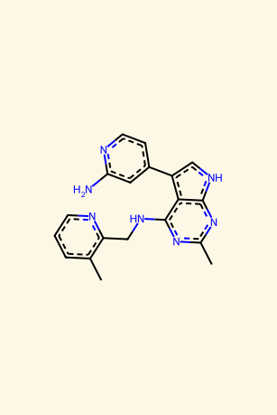 Cc1nc(NCc2ncccc2C)c2c(-c3ccnc(N)c3)c[nH]c2n1